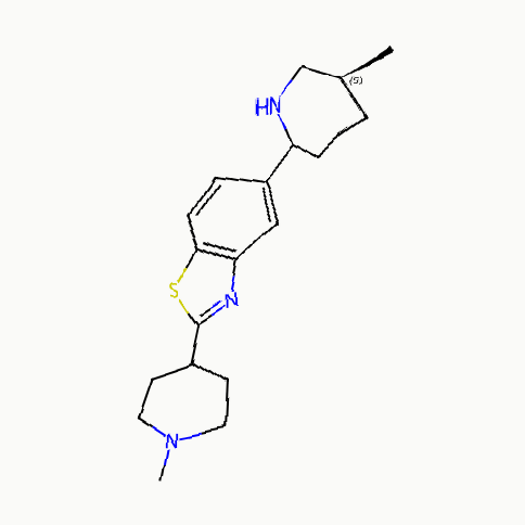 C[C@H]1CCC(c2ccc3sc(C4CCN(C)CC4)nc3c2)NC1